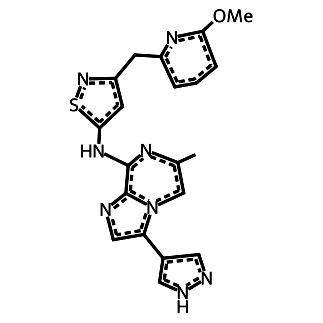 COc1cccc(Cc2cc(Nc3nc(C)cn4c(-c5cn[nH]c5)cnc34)sn2)n1